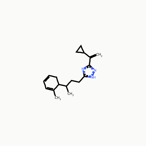 C=C(c1n[nH]c(CCC(C)C2CC=CC=C2C)n1)C1CC1